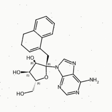 Nc1ncnc2c1ncn2[C@]1(CC2=CCCc3ccccc32)O[C@H](CO)[C@@H](O)[C@H]1O